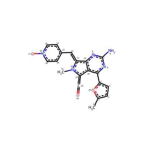 Cc1ccc(-c2nc(N)nc3c(=Cc4cc[n+]([O-])cc4)n(C)c(=C=O)c23)o1